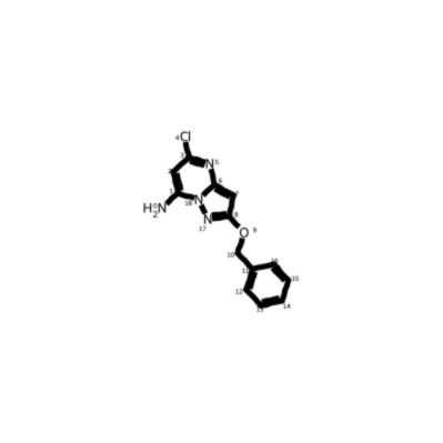 Nc1cc(Cl)nc2cc(OCc3ccccc3)nn12